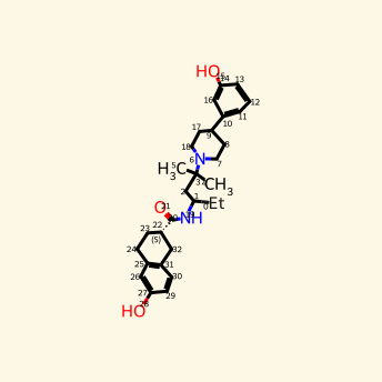 CCC(CC(C)(C)N1CCC(c2cccc(O)c2)CC1)NC(=O)[C@H]1CCc2cc(O)ccc2C1